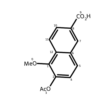 COc1c(OC(C)=O)ccc2cc(C(=O)O)ccc12